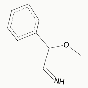 COC(C=N)c1ccccc1